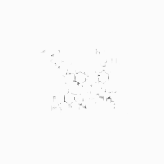 CCOC(=O)N1c2ccc(OC)nc2[C@@H](c2ncc(N3CCN(CC(=O)O)CC3)c(Cc3cc(C(F)(F)F)cc(C(F)(F)F)c3)n2)C[C@@]1(N)CC.[Na]